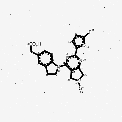 O=C(O)Cc1ccc2c(c1)CCN2c1nc(-c2ccc(F)s2)nc2c1C[S+]([O-])C2